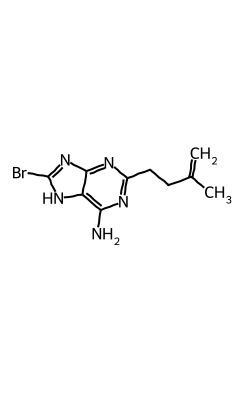 C=C(C)CCc1nc(N)c2[nH]c(Br)nc2n1